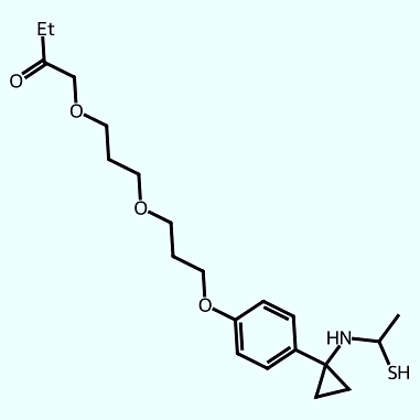 CCC(=O)COCCCOCCCOc1ccc(C2(NC(C)S)CC2)cc1